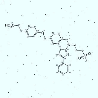 CS(=O)(=O)CCCN(Cc1ccc(COc2ccc(CCC(=O)O)cc2)cc1)c1nc(-c2ccccc2)cs1